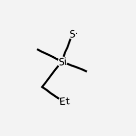 CCC[Si](C)(C)[S]